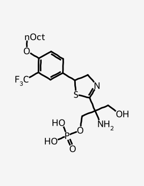 CCCCCCCCOc1ccc(C2CN=C(C(N)(CO)COP(=O)(O)O)S2)cc1C(F)(F)F